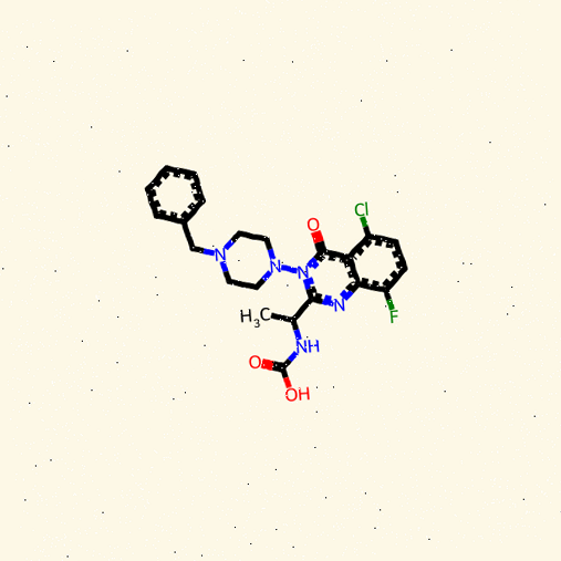 CC(NC(=O)O)c1nc2c(F)ccc(Cl)c2c(=O)n1N1CCN(Cc2ccccc2)CC1